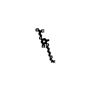 CCc1cc(OCC=C(Cl)Cl)cc(C)c1OCCCCCOCC(C)=O